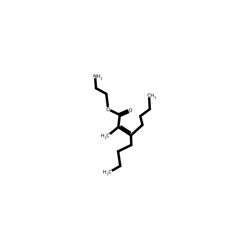 CCCCC(CCCC)=C(C)C(=O)OCCN